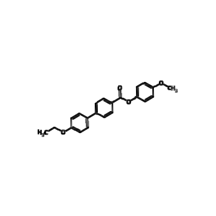 CCOc1ccc(-c2ccc(C(=O)Oc3ccc(OC)cc3)cc2)cc1